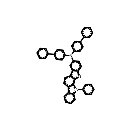 c1ccc(-c2ccc(N(c3ccc(-c4ccccc4)cc3)c3ccc4oc5c(ccc6c7ccccc7n(-c7ccccc7)c65)c4c3)cc2)cc1